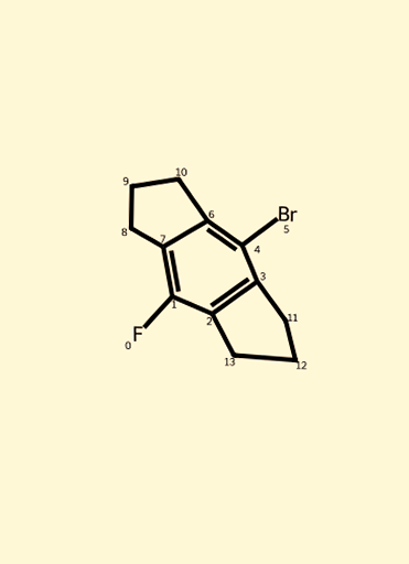 Fc1c2c(c(Br)c3c1CCC3)CCC2